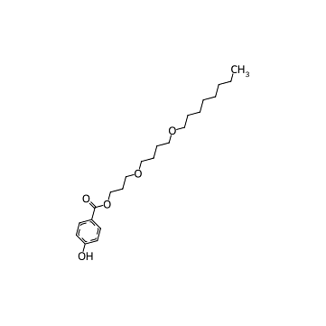 CCCCCCCCOCCCCOCCCOC(=O)c1ccc(O)cc1